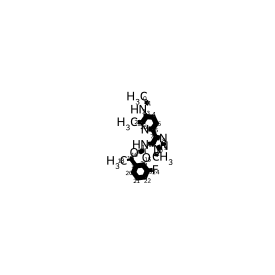 CCNc1ccc(-c2nnn(C)c2NC(=O)O[C@H](C)c2cccc(F)c2)nc1C